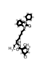 CC[C@@H](CCCCCCn1c(=O)n(C2CCCCC2)c2ccccc21)NC(=O)c1cc(Cl)cnc1C